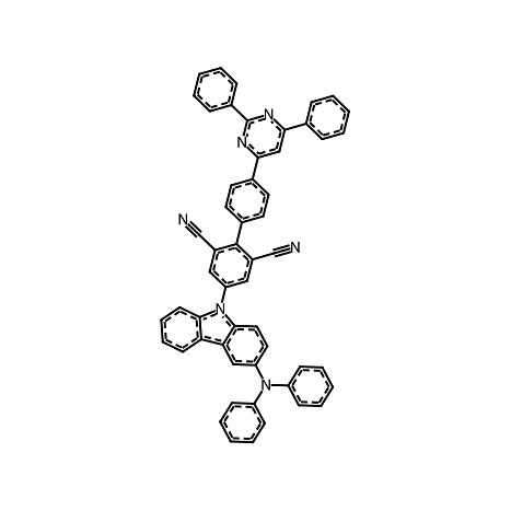 N#Cc1cc(-n2c3ccccc3c3cc(N(c4ccccc4)c4ccccc4)ccc32)cc(C#N)c1-c1ccc(-c2cc(-c3ccccc3)nc(-c3ccccc3)n2)cc1